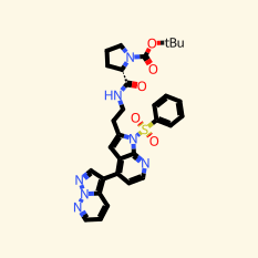 CC(C)(C)OC(=O)N1CCC[C@H]1C(=O)NCCc1cc2c(-c3cnn4ncccc34)ccnc2n1S(=O)(=O)c1ccccc1